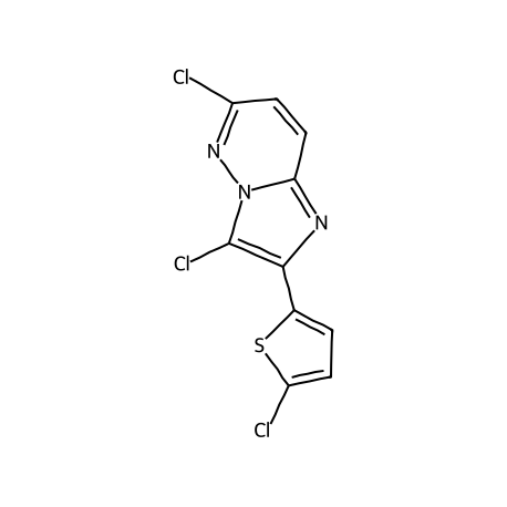 Clc1ccc2nc(-c3ccc(Cl)s3)c(Cl)n2n1